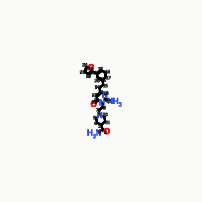 NC(=O)C1CCN(CCn2c(N)nc(CCc3cccc(-c4ccco4)c3)cc2=O)CC1